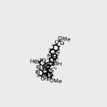 COC(=O)O[C@H]1CC[C@@]2(C)C(=CC[C@@H]3C2CC[C@@]2(C)[C@H]3C[C@H](OC3OCC(O)C(OC4OCC(O)C(O)C4OC(=O)c4ccc(OC)cc4)C3OC(C)=O)[C@]2(O)[C@H](C)C(=O)CCC(C)C)C1